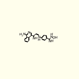 N=C(NO)c1ccc(N/C=C\C(=N)c2cnc(N)c3ccccc23)cc1